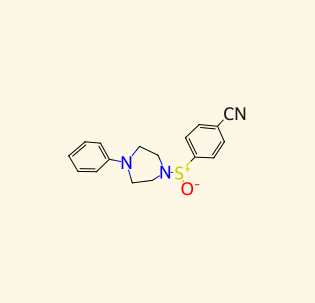 N#Cc1ccc([S+]([O-])N2CCN(c3ccccc3)CC2)cc1